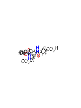 CCOC(=O)[C@H]1C2C(NC(=O)c3ccc(C(=O)O)cc3)CC(NC(=O)OC(C)(C)C)(C(=O)OCC)C21